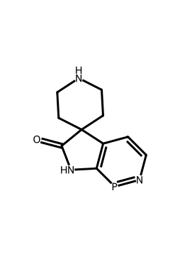 O=C1Nc2pnccc2C12CCNCC2